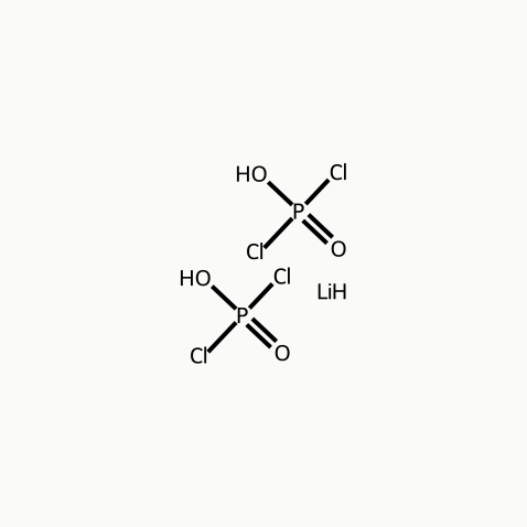 O=P(O)(Cl)Cl.O=P(O)(Cl)Cl.[LiH]